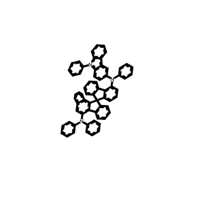 c1ccc(N(c2ccc3c(c2)c2ccccc2n3-c2ccccc2)c2cccc3c2-c2ccccc2C32c3ccccc3-c3c(N(c4ccccc4)c4ccccc4)cc4ccccc4c32)cc1